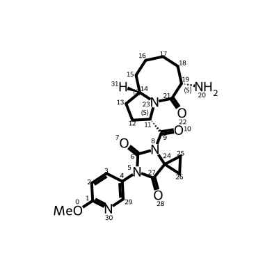 COc1ccc(N2C(=O)N(C(=O)[C@@H]3CC[C@@H]4CCCC[C@H](N)C(=O)N43)C3(CC3)C2=O)cn1